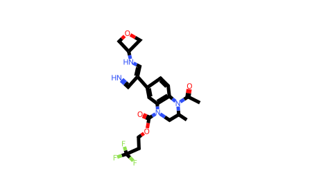 CC(=O)N1c2ccc(/C(C=N)=C/NC3COC3)cc2N(C(=O)OCCC(F)(F)F)CC1C